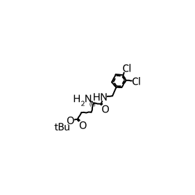 CC(C)(C)OC(=O)CC[C@@H](N)C(=O)NCc1ccc(Cl)c(Cl)c1